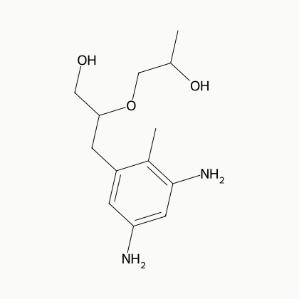 Cc1c(N)cc(N)cc1CC(CO)OCC(C)O